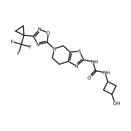 O=C(Nc1nc2c(s1)CN(c1nc(C3(C(F)(F)F)CC3)no1)CC2)NC1CC(O)C1